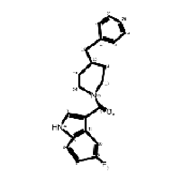 O=C(c1c[nH]c2ccc(F)cc12)N1CCC(Cc2ccccc2)CC1